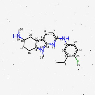 CCc1cc(Nc2ccc3c4c(n(C)c3n2)CCC(NC)C4)ccc1F